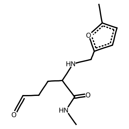 CNC(=O)C(CCC=O)NCc1ccc(C)o1